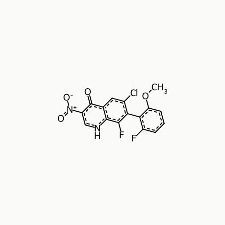 COc1cccc(F)c1-c1c(Cl)cc2c(=O)c([N+](=O)[O-])c[nH]c2c1F